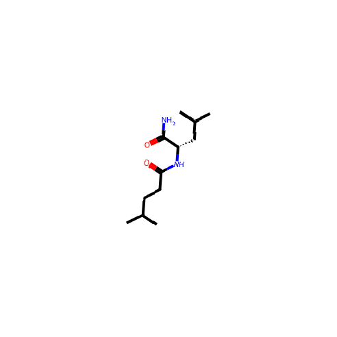 CC(C)CCC(=O)N[C@@H](CC(C)C)C(N)=O